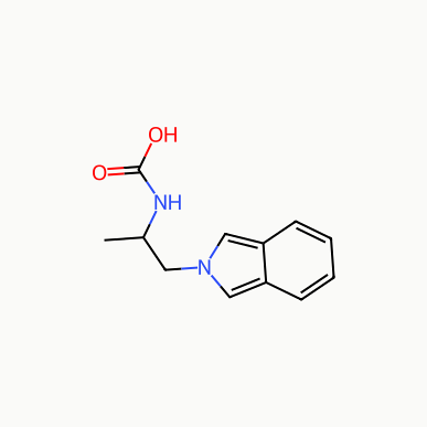 CC(Cn1cc2ccccc2c1)NC(=O)O